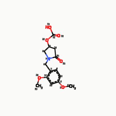 COc1ccc(CN2CC(OC(=O)O)CC2=O)c(OC)c1